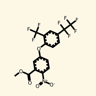 COC(=O)c1cc(Oc2ccc(C(F)(F)C(F)(F)F)cc2C(F)(F)F)ccc1[N+](=O)[O-]